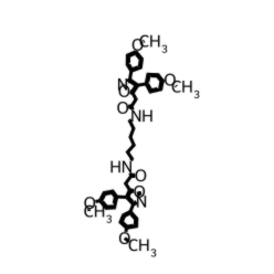 COc1ccc(-c2noc(CC(=O)NCCCCCCNC(=O)Cc3onc(-c4ccc(OC)cc4)c3-c3ccc(OC)cc3)c2-c2ccc(OC)cc2)cc1